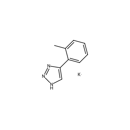 Cc1ccccc1-c1c[nH]nn1.[K]